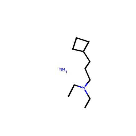 CCN(CC)CCCC1CCC1.N